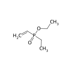 C=CP(=O)(CC)OCC